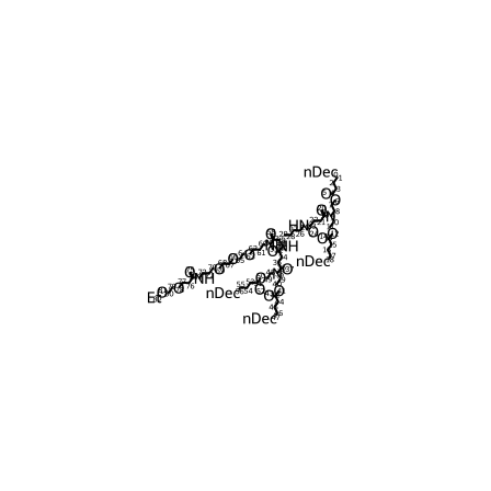 CCCCCCCCCCCCCC(=O)OCCN(CCOC(=O)CCCCCCCCCCCCC)C(=O)CCC(=O)NCCCC[C@H](NC(=O)CCC(=O)N(CCOC(=O)CCCCCCCCCCCCC)CCOC(=O)CCCCCCCCCCCCC)C(=O)NCCCOCCOCCOCCCNC(=O)CCOCCOCC